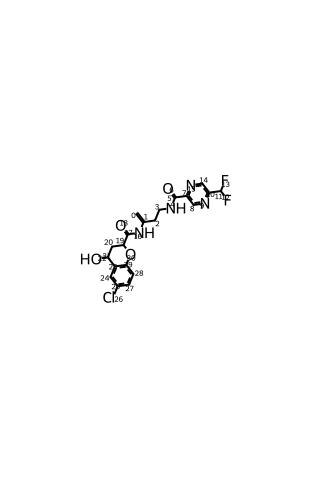 C=C(CCNC(=O)c1cnc(C(F)F)cn1)NC(=O)C1CC(O)c2cc(Cl)ccc2O1